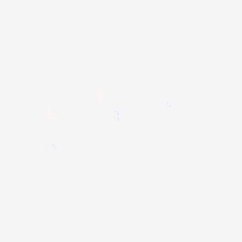 COc1cc(C(=O)NCCCN2CCCCC2)ccc1N